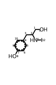 OCC(Cc1ccc(O)cc1)NI